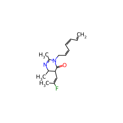 C=C/C=C\C=C/CN1C(=O)C(/C=C(\C)F)C(C)N=C1C